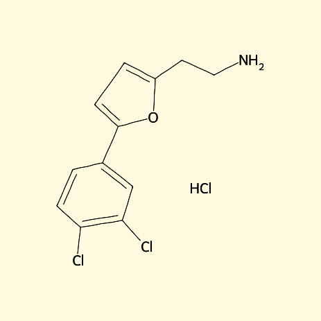 Cl.NCCc1ccc(-c2ccc(Cl)c(Cl)c2)o1